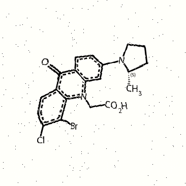 C[C@H]1CCCN1c1ccc2c(=O)c3ccc(Cl)c(Br)c3n(CC(=O)O)c2c1